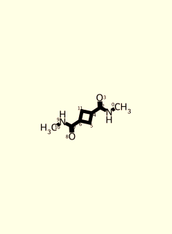 CNC(=O)C1CC(C(=O)NC)C1